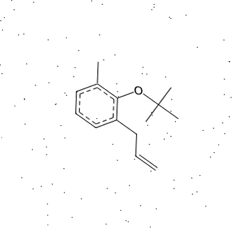 C=CCc1cccc(C)c1OC(C)(C)C